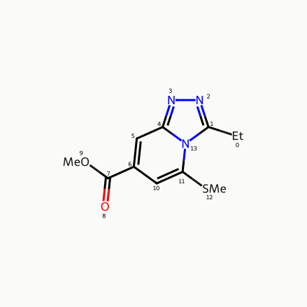 CCc1nnc2cc(C(=O)OC)cc(SC)n12